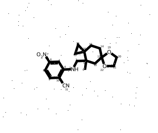 CC1(CNc2cc([N+](=O)[O-])ccc2C#N)CC2(CCC13CC3)OCCO2